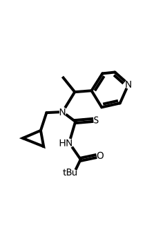 CC(c1ccncc1)N(CC1CC1)C(=S)NC(=O)C(C)(C)C